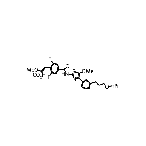 CCCOCCCc1cccc(-c2nc(NC(=O)c3cc(F)c(/C=C(/OC)C(=O)O)c(F)c3)sc2OC)c1